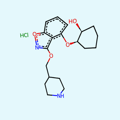 Cl.O[C@H]1CCCC[C@H]1Oc1cccc2onc(OCC3CCNCC3)c12